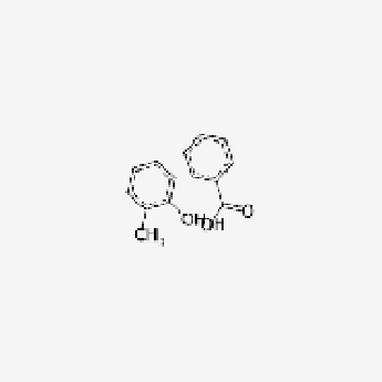 Cc1ccccc1O.O=C(O)c1ccccc1